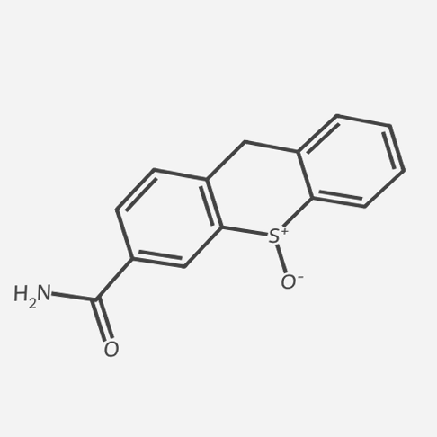 NC(=O)c1ccc2c(c1)[S+]([O-])c1ccccc1C2